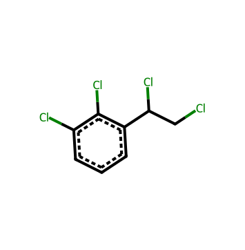 ClCC(Cl)c1cccc(Cl)c1Cl